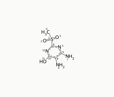 CS(=O)(=O)c1nc(N)c(N)c(O)n1